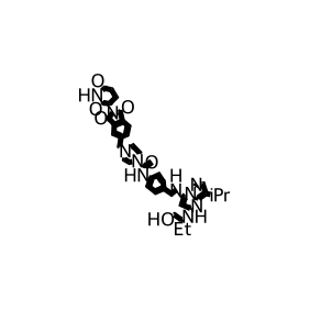 CCC(CO)Nc1cc(NCc2ccc(NC(=O)N3CCN(Cc4ccc5c(c4)C(=O)N(C4CCC(=O)NC4=O)C5=O)CC3)cc2)n2ncc(C(C)C)c2n1